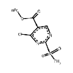 CCCOC(=O)c1cnc(S(C)(=O)=O)nc1Cl